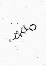 C[C@@]1(C2CN=C(c3ccccc3)S2)CC(Br)=NO1